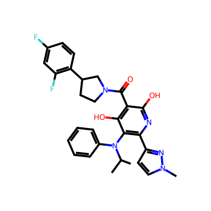 CC(C)N(c1ccccc1)c1c(-c2ccn(C)n2)nc(O)c(C(=O)N2CCC(c3ccc(F)cc3F)C2)c1O